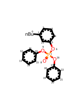 CCCCc1cccc(OP(=O)(Oc2ccccc2)Oc2ccccc2)c1